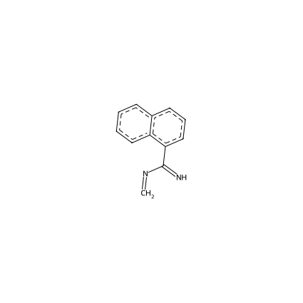 C=NC(=N)c1cccc2ccccc12